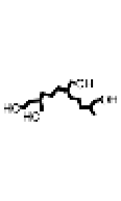 CC(=CCC/C(=C\CCC(CO)CCO)CO)CO